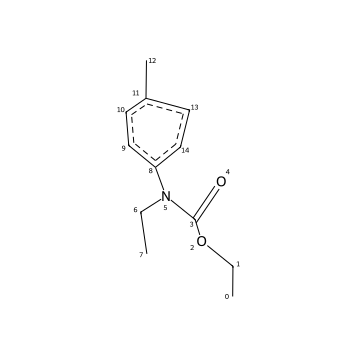 CCOC(=O)N(CC)c1ccc(C)cc1